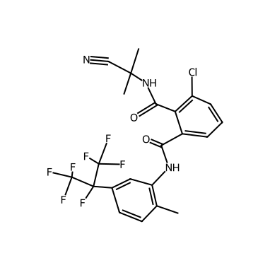 Cc1ccc(C(F)(C(F)(F)F)C(F)(F)F)cc1NC(=O)c1cccc(Cl)c1C(=O)NC(C)(C)C#N